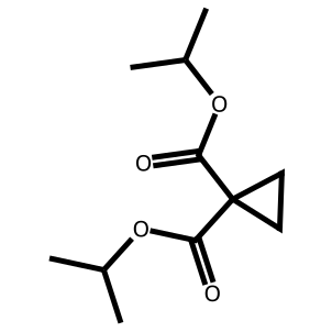 CC(C)OC(=O)C1(C(=O)OC(C)C)CC1